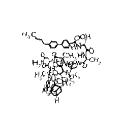 CCCCc1ccc(-c2ccc(C(=O)N[C@H](CO)C(=O)N[C@H](C)C(=O)NCC(=O)N(C)[C@H](C(=O)N[C@@H](C)C(=O)N[C@@H](CC(N)=O)C(=O)N[C@@H](C)B3OC4C[C@@H]5C[C@@H](C5(C)C)[C@]4(C)O3)[C@@H](C)O)cc2)cc1